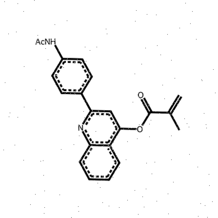 C=C(C)C(=O)Oc1cc(-c2ccc(NC(C)=O)cc2)nc2ccccc12